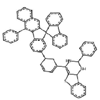 C1=CC(c2ccc3c(c2)C2(c4ccccc4-c4ccccc42)c2cc4ccccc4c(-c4ccccc4)c2-3)CC(C2=C3Sc4ccccc4C3NC(c3ccccc3)N2)=C1